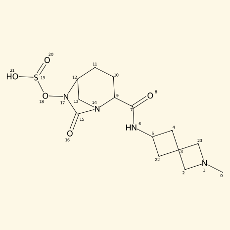 CN1CC2(CC(NC(=O)C3CCC4CN3C(=O)N4OS(=O)O)C2)C1